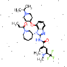 C=CC(=O)N1CCCC[C@@H](n2c(NC(=O)C(/C=C(\N=C)C(F)(F)F)=C/C)nc3cccc(OC4CCN(C(C)C)CC4)c32)C1